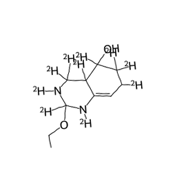 [2H]C1C=C2N([2H])C([2H])(OCC)N([2H])C([2H])([2H])C2([2H])C([2H])(O)C1([2H])[2H]